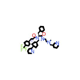 CN(CCN(C)C(=O)[C@H](Cc1ccccc1)N(Cc1ccc(-c2ccccn2)cc1)C(=O)/C=C/c1ccc(C(F)(F)F)cc1)Cc1cccnc1